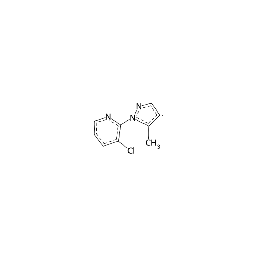 Cc1[c]cnn1-c1ncccc1Cl